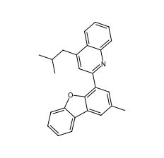 Cc1cc(-c2cc(CC(C)C)c3ccccc3n2)c2oc3ccccc3c2c1